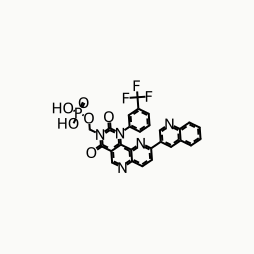 O=c1c2cnc3ccc(-c4cnc5ccccc5c4)nc3c2n(-c2cccc(C(F)(F)F)c2)c(=O)n1COP(=O)(O)O